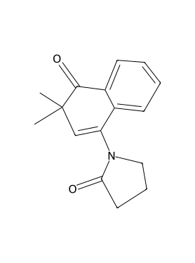 CC1(C)C=C(N2CCCC2=O)c2ccccc2C1=O